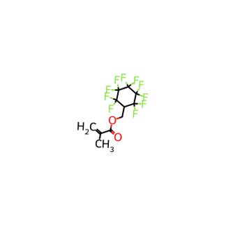 C=C(C)C(=O)OCC1C(F)(F)C(F)(F)C(F)(F)C(F)(F)C1(F)F